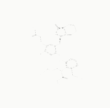 CCOCN(C(=O)CCl)c1c(C)cccc1CC.COC(=O)CSc1cc(/N=c2\sc(=O)n3n2CCCC3)c(F)cc1Cl